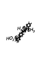 CN1c2ccccc2N(C)C1N=Nc1ccc(N2CCCC2C(=O)O)cc1